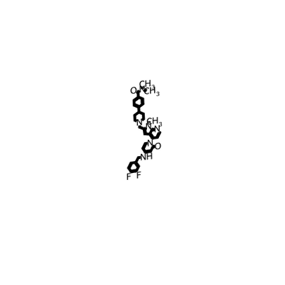 CN(C)C(=O)c1ccc(C2CCN(Cc3cc4c(-n5ccc(NCc6ccc(F)c(F)c6)cc5=O)ccnc4n3C)CC2)cc1